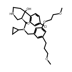 COCCCc1cc(CN(C(=O)[C@H]2CNCC[C@]2(O)c2ccc(Cl)cc2)C2CC2)cc(OCCOC)c1